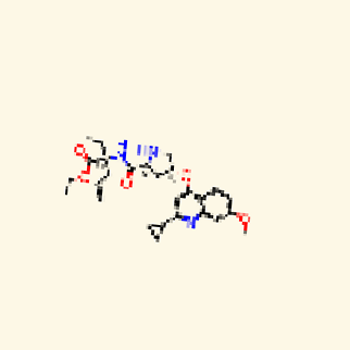 C=CC[C@@](CC)(NC(=O)[C@@H]1C[C@@H](Oc2cc(C3CC3)nc3cc(OC)ccc23)CN1)C(=O)OCC